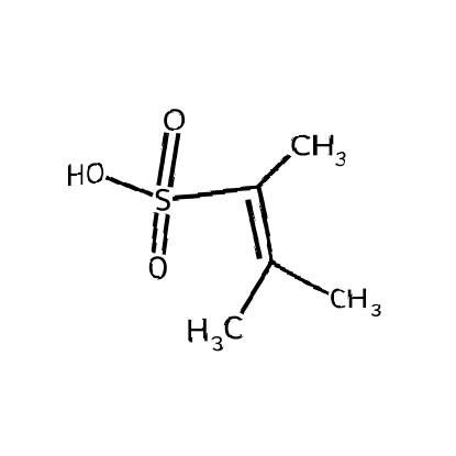 CC(C)=C(C)S(=O)(=O)O